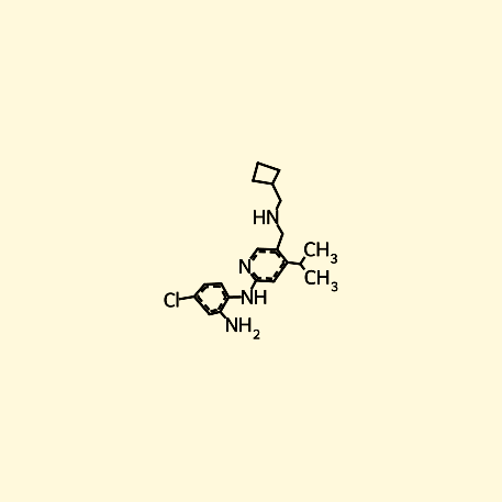 CC(C)c1cc(Nc2ccc(Cl)cc2N)ncc1CNCC1CCC1